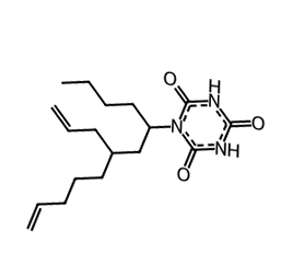 C=CCCCC(CC=C)CC(CCCC)n1c(=O)[nH]c(=O)[nH]c1=O